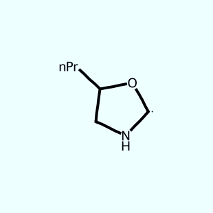 CCCC1CN[CH]O1